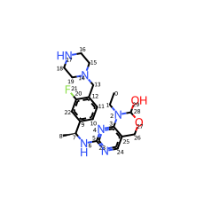 CCN1c2nc(N[C@@H](C)c3ccc(CN4CCNCC4)c(F)c3)ncc2COC1O